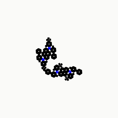 Cc1cc([Si](C)(C)C)ccc1N(c1cc(-c2ccccc2)ccc1C)c1ccc2ccc3c(N(c4ccc([Si](C)(C)Cc5ccc(-c6ccc(C)c(N(c7cc([Si](C)(C)C)ccc7C)c7ccc8ccc9c(N(c%10cc(-c%11ccccc%11)ccc%10C)c%10cc([Si](C)(C)C)ccc%10C)ccc%10ccc7c8c%109)c6)cc5)cc4C)c4cc(-c5ccccc5)ccc4C)ccc4ccc1c2c43